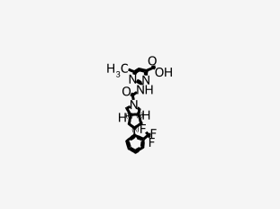 Cc1cc(C(=O)O)nc(NC(=O)N2C[C@H]3C[C@@H](c4ccccc4C(F)(F)F)C[C@H]3C2)n1